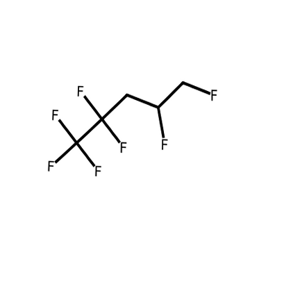 FCC(F)CC(F)(F)C(F)(F)F